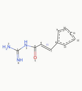 N=C(N)NC(=O)/C=C/c1ccccc1